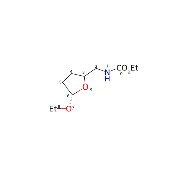 CCOC(=O)NCC1CC[C@@H](OCC)O1